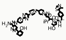 Cc1ncsc1-c1ccc([C@H](C)NC(=O)[C@@H]2C[C@@H](O)CN2C(=O)C(c2cc(N3CCC(CN4CCN(c5cnc(N6CCC(n7nc(N)c8nnc(-c9ccccc9O)cc87)CC6)nc5)CC4)CC3)no2)C(C)C)cc1